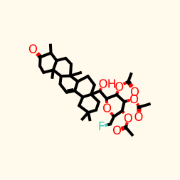 CC(=O)OC1C(CF)OC(C(O)C23CCC4C(=CCC5C4(C)CCC4C(C)C(=O)CCC45C)C2CC(C)(C)CC3)C(OC(C)=O)C1OC(C)=O